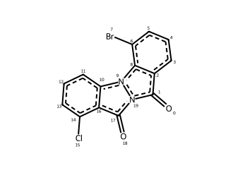 O=c1c2cccc(Br)c2n2c3cccc(Cl)c3c(=O)n12